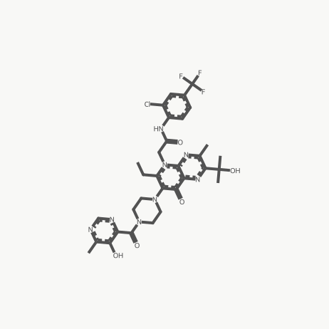 CCc1c(N2CCN(C(=O)c3ncnc(C)c3O)CC2)c(=O)c2nc(C(C)(C)O)c(C)nc2n1CC(=O)Nc1ccc(C(F)(F)F)cc1Cl